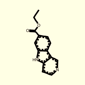 CCOC(=O)c1ccc2c(c1)[nH]c1ccncc12